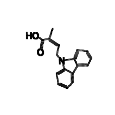 CC(=CCn1c2ccccc2c2ccccc21)C(=O)O